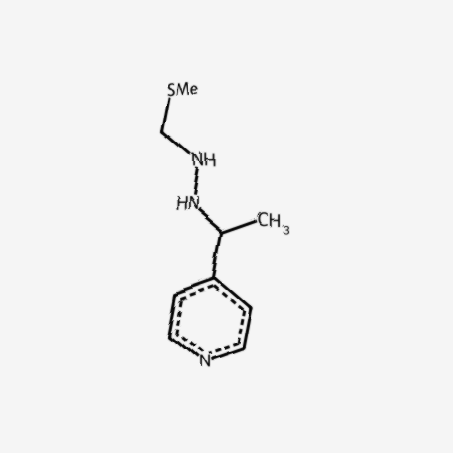 CSCNNC(C)c1ccncc1